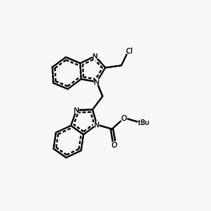 CC(C)(C)OC(=O)n1c(Cn2c(CCl)nc3ccccc32)nc2ccccc21